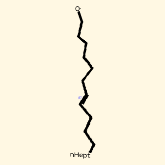 CCCCCCCCCC/C=C/CCCCCC[O]